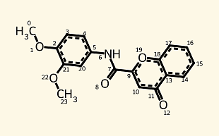 COc1ccc(NC(=O)c2cc(=O)c3ccccc3o2)cc1OC